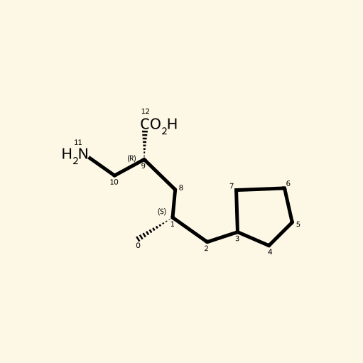 C[C@@H](CC1CCCC1)C[C@H](CN)C(=O)O